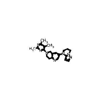 Cc1nc(C)c(C)c(N2CCc3ncc(N4CCCn5nccc54)cc3C2)n1